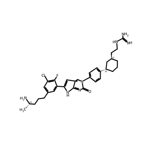 C[C@H](N)CCCc1cc(Cl)c(F)c(-c2cc3cn(-c4ccc([C@H]5CCC[C@H](CCNC(=N)N)C5)cc4)c(=O)nc3[nH]2)c1